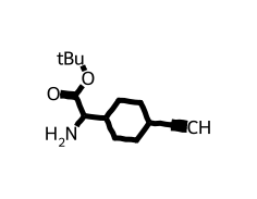 C#CC1CCC(C(N)C(=O)OC(C)(C)C)CC1